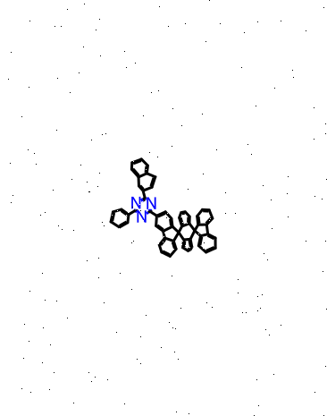 c1ccc(-c2nc(-c3ccc4c(c3)-c3ccccc3C43c4ccccc4C4(c5ccccc5-c5ccccc54)c4ccccc43)nc(-c3ccc4ccccc4c3)n2)cc1